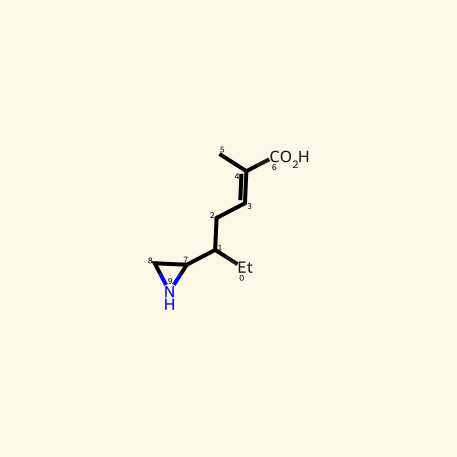 CCC(CC=C(C)C(=O)O)C1CN1